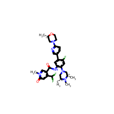 C[C@@H]1CN(c2cc(F)c(-c3ccc(N4CCO[C@@H](C)C4)nc3)cc2NC(=O)c2cn(C)c(=O)cc2C(F)F)C[C@H](C)N1C